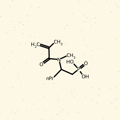 C=C(C)C(=O)N(C)C(CCC)CP(=O)(O)O